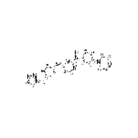 c1cn(Cc2ccc(Sc3ccnc(Nc4ccc(N5CCOCC5)cc4)n3)cc2)nn1